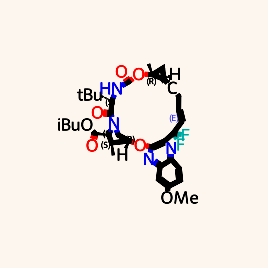 COc1ccc2nc3c(nc2c1)O[C@H]1CN(C(=O)[C@H](C(C)(C)C)NC(=O)O[C@]2(C)C[C@H]2CC/C=C/C3(F)F)[C@H](C(=O)OCC(C)C)[C@@H]1C